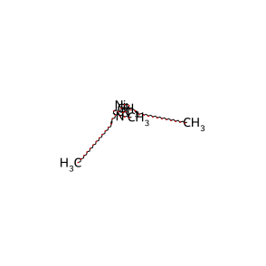 CCCCCCCCCCCCCCCCCCCCCCC#CCCc1ccccc1/N=C(CCCC)\C(CC)=N\c1ccccc1CCC#CCCCCCCCCCCCCCCCCCCCCCC.[Ni]